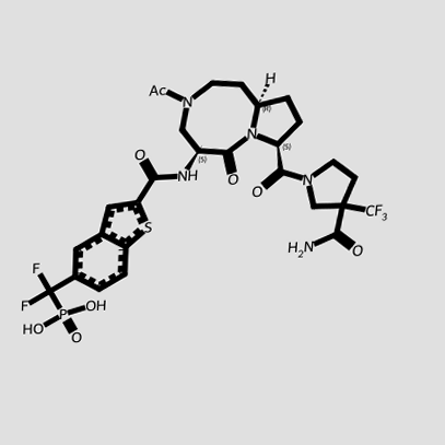 CC(=O)N1CC[C@H]2CC[C@@H](C(=O)N3CCC(C(N)=O)(C(F)(F)F)C3)N2C(=O)[C@@H](NC(=O)c2cc3cc(C(F)(F)P(=O)(O)O)ccc3s2)C1